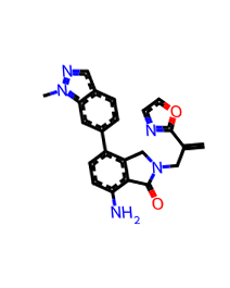 C=C(CN1Cc2c(-c3ccc4cnn(C)c4c3)ccc(N)c2C1=O)c1ncco1